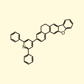 c1ccc(-c2cc(-c3ccc4c(c3)CCc3cc5c(cc3-4)oc3ccccc35)cc(-c3ccccc3)n2)cc1